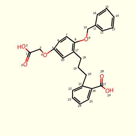 O=C(O)COc1ccc(OCc2ccccc2)c(CCCc2ccccc2C(=O)O)c1